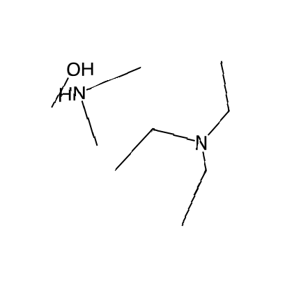 CCN(CC)CC.CNC.CO